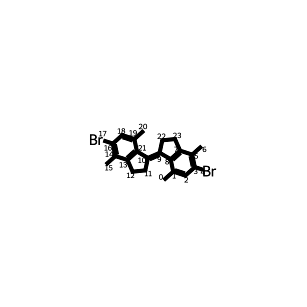 Cc1cc(Br)c(C)c2c1C(=C1CCc3c(C)c(Br)cc(C)c31)CC2